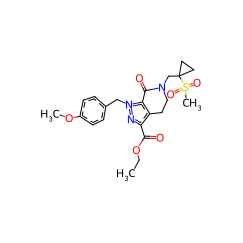 CCOC(=O)c1nn(Cc2ccc(OC)cc2)c2c1CCN(CC1(S(C)(=O)=O)CC1)C2=O